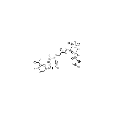 CC(=O)O[C@@H](C)/C=C\C(=O)NC1C[C@H](C)[C@H](C/C=C(C)/C=C/[C@H]2O[C@H](CC(=O)NN(C)C)C[C@@]3(CO3)[C@@H]2O)OC1C